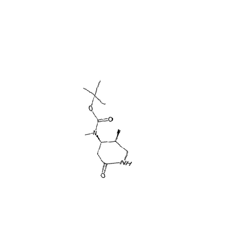 C[C@H]1CNC(=O)C[C@H]1N(C)C(=O)OC(C)(C)C